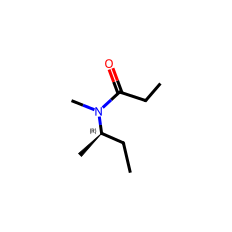 CCC(=O)N(C)[C@H](C)CC